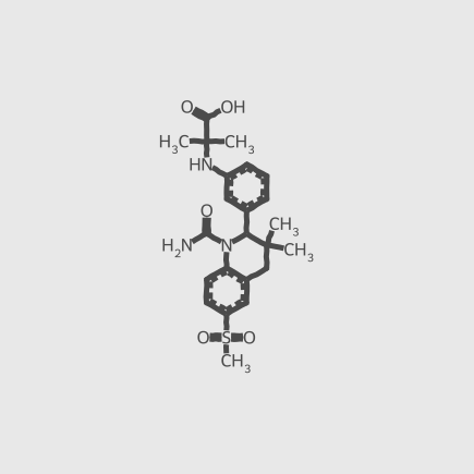 CC(C)(Nc1cccc(C2N(C(N)=O)c3ccc(S(C)(=O)=O)cc3CC2(C)C)c1)C(=O)O